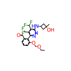 CCOCOc1cccc(C=O)c1-c1nnc(NC2CC(C)(O)C2)c(C(F)F)c1C(F)F